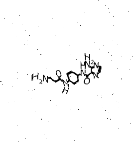 NCCC(=O)NC1CCC(NC(=O)c2nccnc2N)CC1